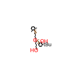 Cc1cccc(C)c1SCCCCOC(CCCCO)Sc1cccc(C(C)(C)C)c1O